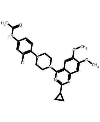 COc1cc2nc(C3CC3)nc(N3CCN(c4ccc(NC(C)=O)cc4Cl)CC3)c2cc1OC